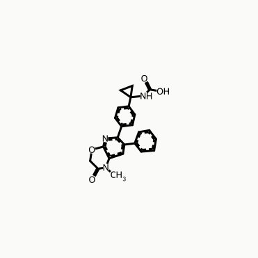 CN1C(=O)COc2nc(-c3ccc(C4(NC(=O)O)CC4)cc3)c(-c3ccccc3)cc21